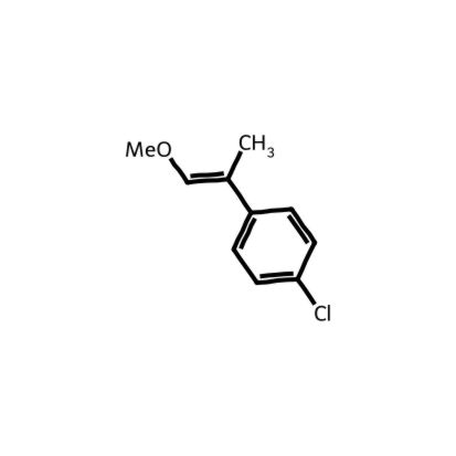 COC=C(C)c1ccc(Cl)cc1